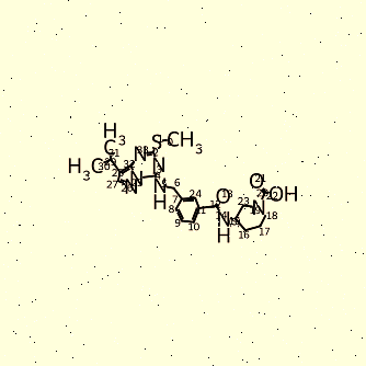 CSc1nc(NCc2cccc(C(=O)N[C@H]3CCCN(C(=O)O)C3)c2)n2ncc(C(C)C)c2n1